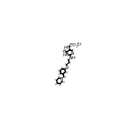 CCOC(=O)Nc1cnc(NCCCOc2cccc(CN3CCCCC3)c2)[nH]c1=O